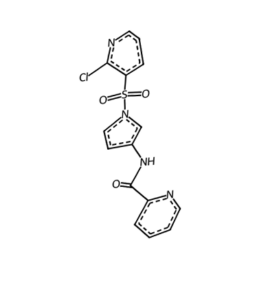 O=C(Nc1ccn(S(=O)(=O)c2cccnc2Cl)c1)c1ccccn1